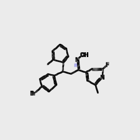 Cc1cc(/C(CC(c2ccc(Br)cc2)c2ccccc2C)=N\O)cc(F)n1